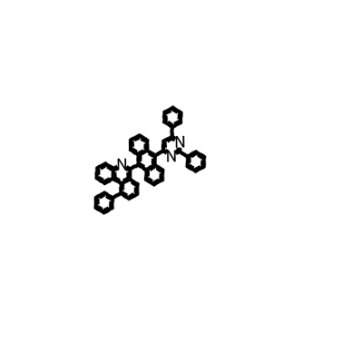 c1ccc(-c2cc(-c3c4ccccc4c(-c4nc5ccccc5c5c(-c6ccccc6)cccc45)c4ccccc34)nc(-c3ccccc3)n2)cc1